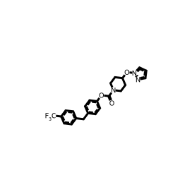 O=C(Oc1ccc(Cc2ccc(C(F)(F)F)cc2)cc1)N1CCC(On2cccn2)CC1